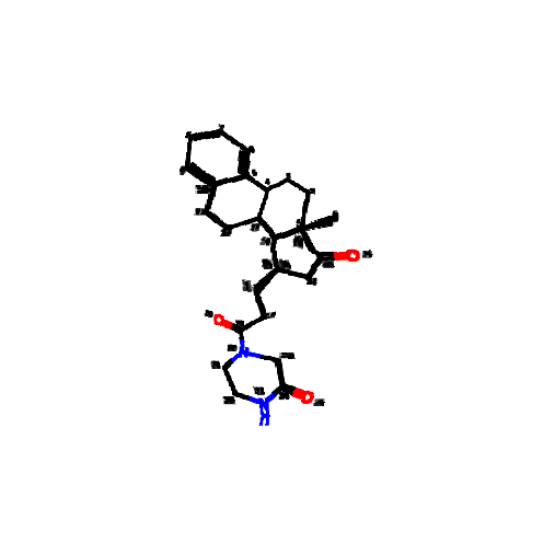 C[C@]12CCC3c4ccccc4CCC3C1[C@H](CCC(=O)N1CCNC(=O)C1)CC2=O